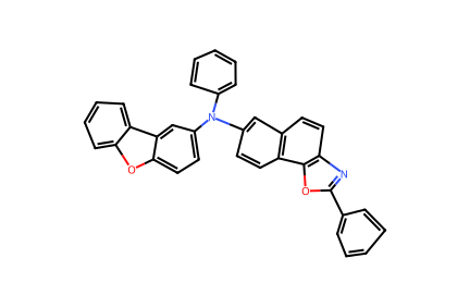 c1ccc(-c2nc3ccc4cc(N(c5ccccc5)c5ccc6oc7ccccc7c6c5)ccc4c3o2)cc1